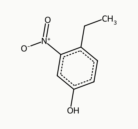 CCc1ccc(O)cc1[N+](=O)[O-]